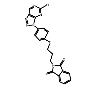 O=C1c2ccccc2C(=O)N1CCCOc1ccc(-n2nnc3cnc(Cl)nc32)cc1